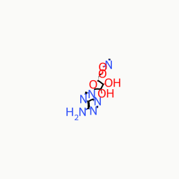 C=NOOC[C@H]1O[C@@H](n2cnc3c(N)ncnc32)[C@H](O)[C@@H]1O